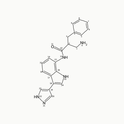 NCC(Cc1ccccc1)C(=O)Nc1cccc2c(-c3cn[nH]c3)c[nH]c12